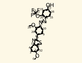 COc1ccc2nc(-c3ccc(N=Nc4ccc(O)cc4OC(F)(F)F)c(OC)c3)sc2c1